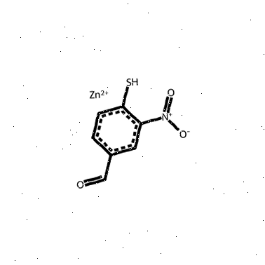 O=Cc1ccc(S)c([N+](=O)[O-])c1.[Zn+2]